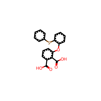 O=C(O)c1cccc(Oc2ccccc2Sc2ccccc2)c1C(=O)O